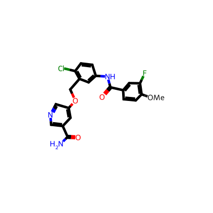 COc1ccc(C(=O)Nc2ccc(Cl)c(COc3cncc(C(N)=O)c3)c2)cc1F